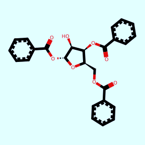 O=C(OC[C@H]1O[C@H](OC(=O)c2ccccc2)[C@@H](O)[C@H]1OC(=O)c1ccccc1)c1ccccc1